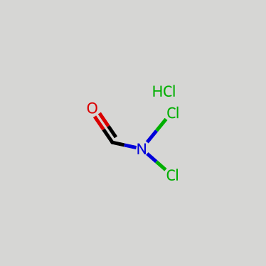 Cl.O=CN(Cl)Cl